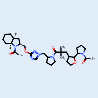 CC(C)(C)C(=O)N1CCCC1C1OCCC1CC(C)(C)C(=O)N1CCCC1Cn1cnc(OC[C@@H]2C[C@@H]3CCCC[C@@H]3N2C(=O)C(C)(C)C)n1